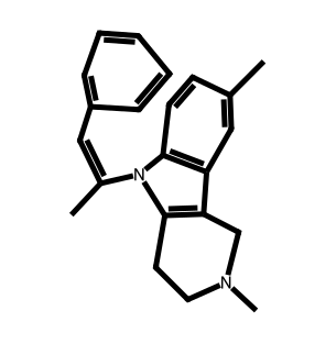 C/C(=C/c1ccccc1)n1c2c(c3cc(C)ccc31)CN(C)CC2